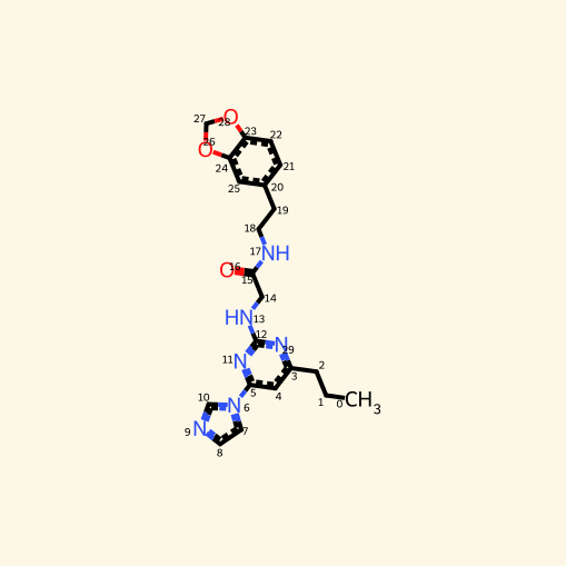 CCCc1cc(-n2ccnc2)nc(NCC(=O)NCCc2ccc3c(c2)OCO3)n1